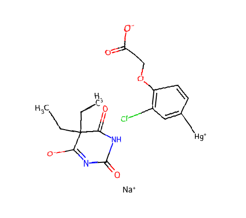 CCC1(CC)C(=O)NC(=O)N=C1[O-].O=C([O-])COc1cc[c]([Hg+])cc1Cl.[Na+]